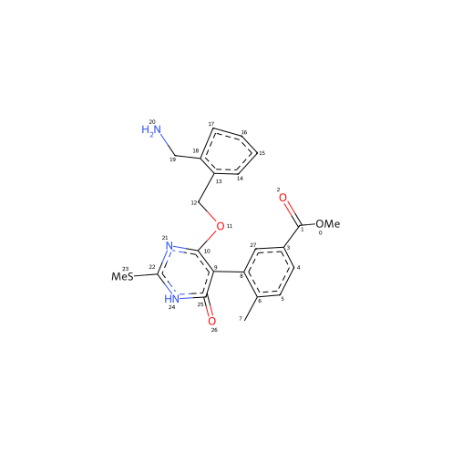 COC(=O)c1ccc(C)c(-c2c(OCc3ccccc3CN)nc(SC)[nH]c2=O)c1